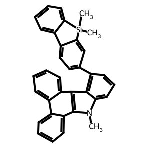 Cn1c2cccc(-c3ccc4c(c3)[Si](C)(C)c3ccccc3-4)c2c2c3ccccc3c3ccccc3c21